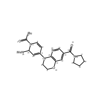 CCC(C)C(=O)N1C=CC(N2CCOc3cc(C(=O)N4CCCC4)cnc32)=CC1NC